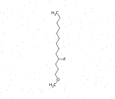 CCCCCCCCCC(F)CCCOC